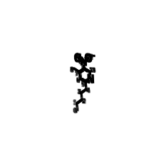 CCCCCc1cc(C)c([N+](=O)[O-])cn1